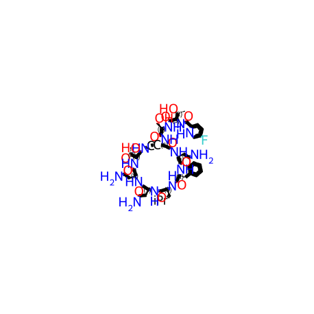 CC(C)C[C@@H]1NC(=O)[C@@H](Cc2ccccc2)NC(=O)[C@H](CCN)NC(=O)[C@@H](NC(=O)[C@@H](CO)NC(=O)[C@@H](NC(=O)c2ccc(F)cn2)[C@@H](C)O)CCNC(=O)[C@H]([C@@H](C)O)NC(=O)[C@H](CCN)NC(=O)[C@H](CCN)NC1=O